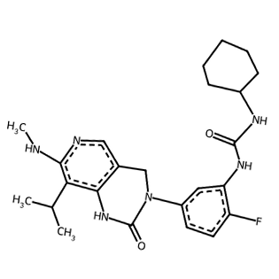 CNc1ncc2c(c1C(C)C)NC(=O)N(c1ccc(F)c(NC(=O)NC3CCCCC3)c1)C2